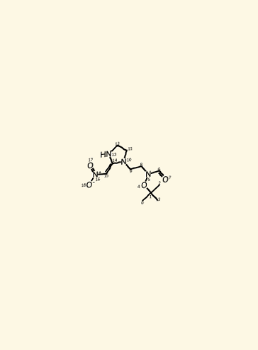 CC(C)(C)ON(C=O)CCN1CCNC1=C[N+](=O)[O-]